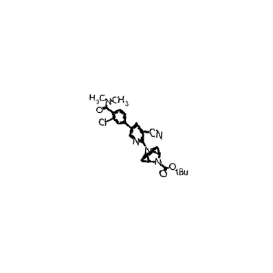 CN(C)C(=O)c1ccc(-c2cnc(N3C4C5=C6C(C63)N(C(=O)OC(C)(C)C)C54)c(C#N)c2)cc1Cl